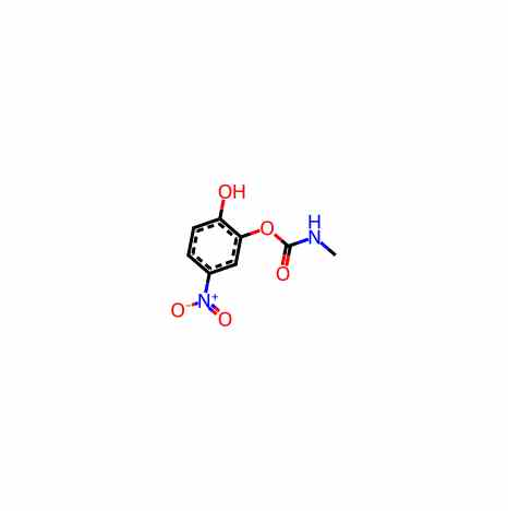 CNC(=O)Oc1cc([N+](=O)[O-])ccc1O